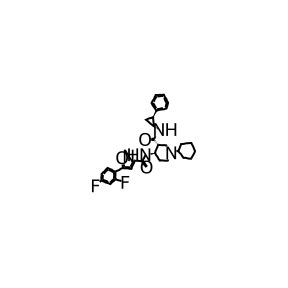 O=C(N[C@@H]1CCN(C2CCCCC2)C[C@H]1C(=O)N[C@@H]1C[C@H]1c1ccccc1)c1cc(-c2ccc(F)cc2F)on1